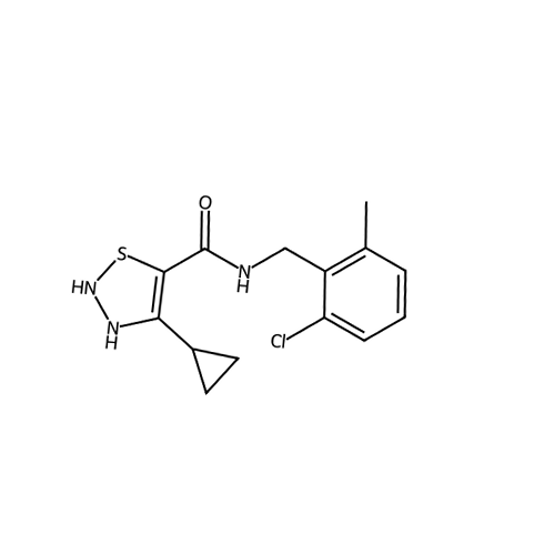 Cc1cccc(Cl)c1CNC(=O)C1=C(C2CC2)NNS1